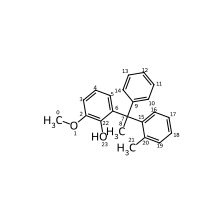 COc1cccc(C(C)(c2ccccc2)c2ccccc2C)c1O